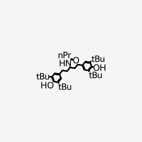 CCCC(=O)NC(CCc1cc(C(C)(C)C)c(O)c(C(C)(C)C)c1)CCc1cc(C(C)(C)C)c(O)c(C(C)(C)C)c1